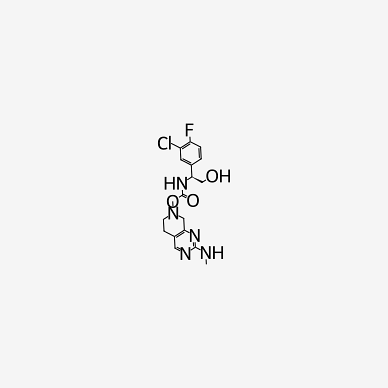 CNc1ncc2c(n1)CN(OC(=O)N[C@H](CO)c1ccc(F)c(Cl)c1)CC2